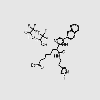 CCC(=O)CCCCCC(C(=O)NCCc1cn[nH]c1)c1ncc(-c2ccc3ccccc3c2)[nH]1.O=C(O)C(F)(F)F.O=C(O)C(F)(F)F